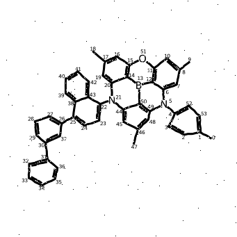 Cc1ccc(N2c3cc(C)cc4c3B3c5c(cc(C)cc5N(c5ccc(-c6cccc(-c7ccccc7)c6)c6ccccc56)c5cc(C)cc2c53)O4)cc1